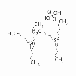 CCCC[CH2][SnH]([CH2]CCCC)[CH2]CCCC.CCCC[CH2][SnH]([CH2]CCCC)[CH2]CCCC.O=S(=O)(O)O